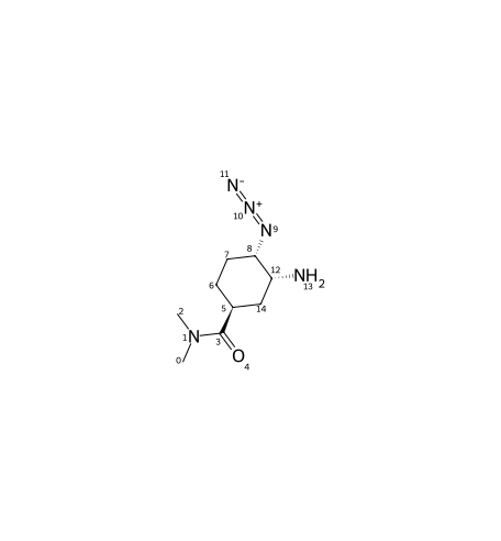 CN(C)C(=O)[C@H]1CC[C@H](N=[N+]=[N-])[C@H](N)C1